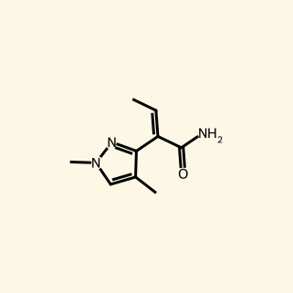 C/C=C(/C(N)=O)c1nn(C)cc1C